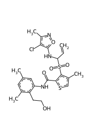 C=CC(Nc1onc(C)c1Cl)S(=O)(=O)c1c(C)csc1C(=O)Nc1cc(C)cc(C)c1CCO